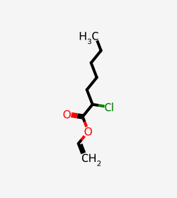 C=COC(=O)C(Cl)CCCCC